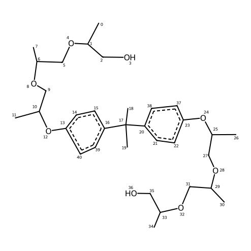 CC(CO)OCC(C)OCC(C)Oc1ccc(C(C)(C)c2ccc(OC(C)COC(C)COC(C)CO)cc2)cc1